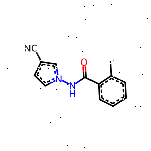 [CH2]c1ccccc1C(=O)Nn1ccc(C#N)c1